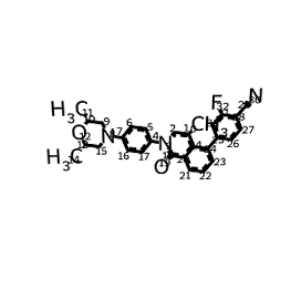 Cc1cn(-c2ccc(N3C[C@@H](C)O[C@@H](C)C3)cc2)c(=O)c2cccc(-c3ccc(C#N)c(F)c3)c12